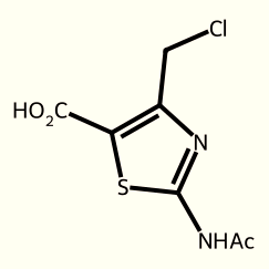 CC(=O)Nc1nc(CCl)c(C(=O)O)s1